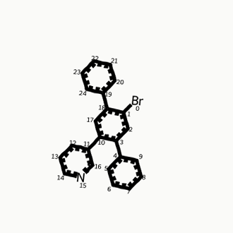 Brc1cc(-c2ccccc2)c(-c2cccnc2)cc1-c1ccccc1